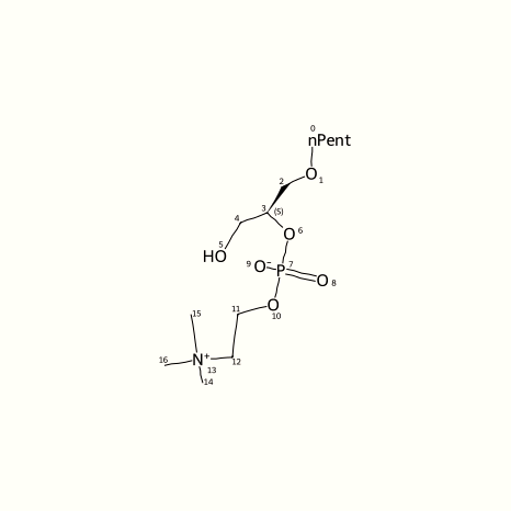 CCCCCOC[C@H](CO)OP(=O)([O-])OCC[N+](C)(C)C